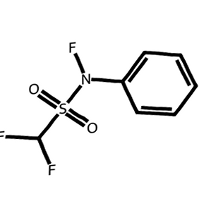 O=S(=O)(C(F)F)N(F)c1ccccc1